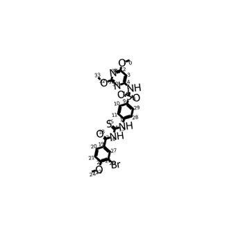 COc1cc(NS(=O)(=O)c2ccc(NC(=S)NC(=O)c3ccc(OC)c(Br)c3)cc2)nc(OC)n1